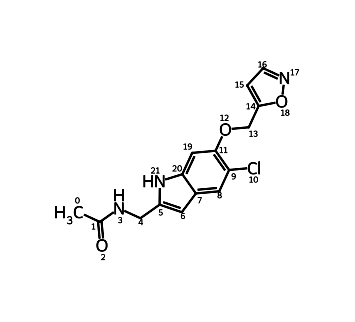 CC(=O)NCc1cc2cc(Cl)c(OCc3ccno3)cc2[nH]1